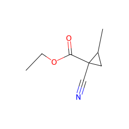 CCOC(=O)C1(C#N)CC1C